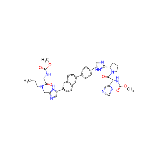 CCCN(Cc1ncc(-c2ccc3cc(-c4ccc(-c5cnc([C@@H]6CCCN6C(=O)C(NC(=O)OC)c6cnccn6)[nH]5)cc4)ccc3c2)[nH]1)C(=O)CNC(=O)OC